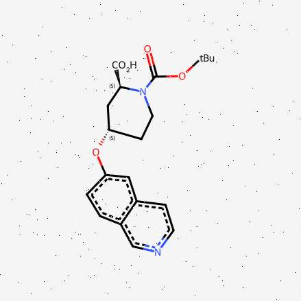 CC(C)(C)OC(=O)N1CC[C@H](Oc2ccc3cnccc3c2)C[C@H]1C(=O)O